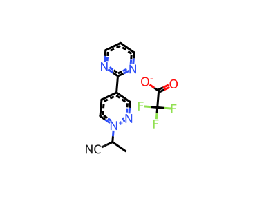 CC(C#N)[n+]1ccc(-c2ncccn2)cn1.O=C([O-])C(F)(F)F